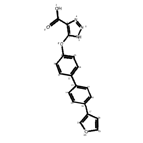 O=C(O)c1nn[nH]c1Oc1ccc(-c2ccc(-c3ccoc3)cc2)cc1